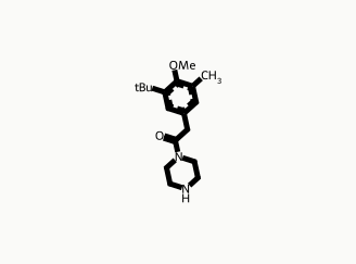 COc1c(C)cc(CC(=O)N2CCNCC2)cc1C(C)(C)C